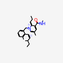 CC/C=C1\C(C(=O)NC)=CC(C)=CN1Cc1cccc(C)c1/C=C\C(C)CC